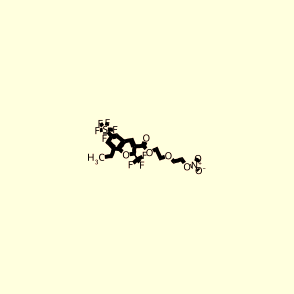 CCc1cc(S(F)(F)(F)(F)F)cc2c1O[C@H](C(F)(F)F)C(C(=O)OCCOCCO[N+](=O)[O-])=C2